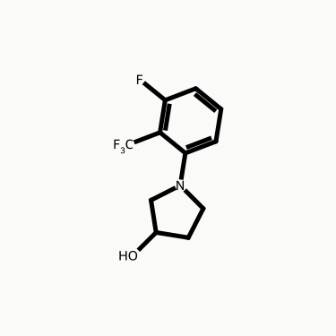 OC1CCN(c2cccc(F)c2C(F)(F)F)C1